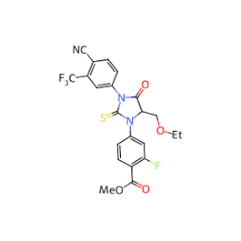 CCOCC1C(=O)N(c2ccc(C#N)c(C(F)(F)F)c2)C(=S)N1c1ccc(C(=O)OC)c(F)c1